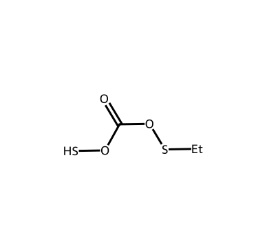 CCSOC(=O)OS